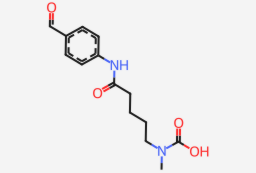 CN(CCCCC(=O)Nc1ccc(C=O)cc1)C(=O)O